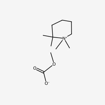 CC1(C)CCCC[N+]1(C)C.COC(=O)[O-]